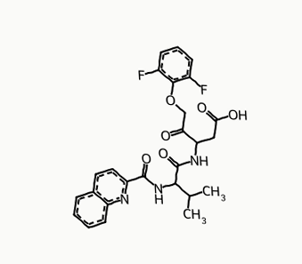 CC(C)C(NC(=O)c1ccc2ccccc2n1)C(=O)NC(CC(=O)O)C(=O)COc1c(F)cccc1F